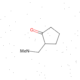 CNCC1CCCC1=O